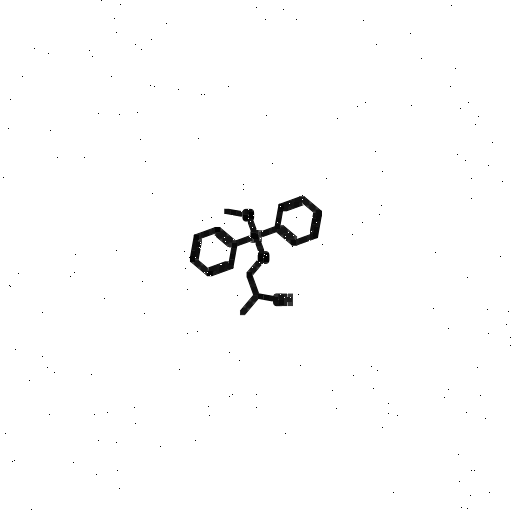 CO[Si](OCC(C)O)(c1ccccc1)c1ccccc1